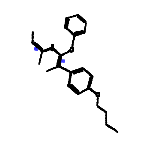 C/C=C(/C)S/C(Oc1ccccc1)=C(\C)c1ccc(OCCCC)cc1